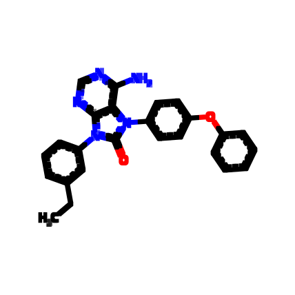 CCc1cccc(-n2c(=O)n(-c3ccc(Oc4ccccc4)cc3)c3c(N)ncnc32)c1